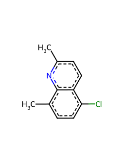 Cc1ccc2c(Cl)ccc(C)c2n1